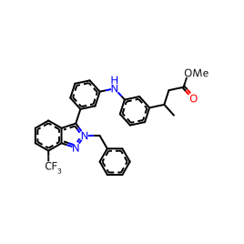 COC(=O)CC(C)c1cccc(Nc2cccc(-c3c4cccc(C(F)(F)F)c4nn3Cc3ccccc3)c2)c1